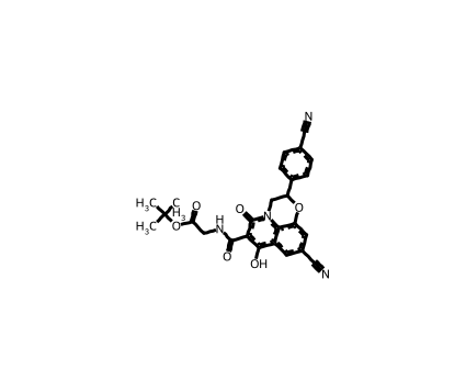 CC(C)(C)OC(=O)CNC(=O)c1c(O)c2cc(C#N)cc3c2n(c1=O)CC(c1ccc(C#N)cc1)O3